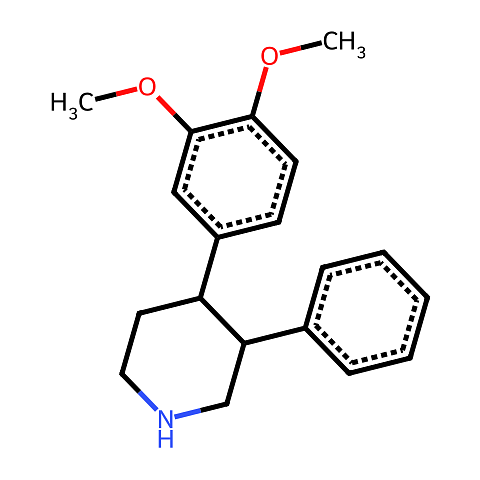 COc1ccc(C2CCNCC2c2ccccc2)cc1OC